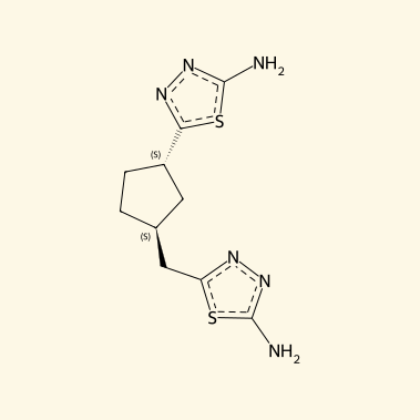 Nc1nnc(C[C@H]2CC[C@H](c3nnc(N)s3)C2)s1